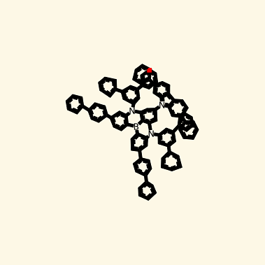 c1ccc(-c2ccc(-c3ccc4c(c3)N(c3cc(-c5ccccc5)cc(-c5ccccc5)c3)c3cc(-n5c6cc(-c7ccccc7)ccc6c6ccc(-c7ccccc7)cc65)cc5c3B4c3ccc(-c4ccc(-c6ccccc6)cc4)cc3N5c3cc(-c4ccccc4)cc(-c4ccccc4)c3)cc2)cc1